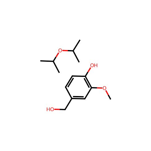 CC(C)OC(C)C.COc1cc(CO)ccc1O